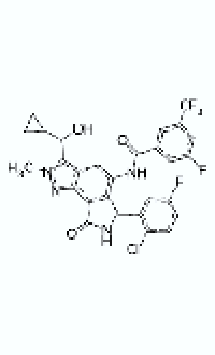 Cn1nc2c3c(c(NC(=O)c4cc(F)cc(C(F)(F)F)c4)cc2c1C(O)C1CC1)C(c1cc(F)ccc1Cl)NC3=O